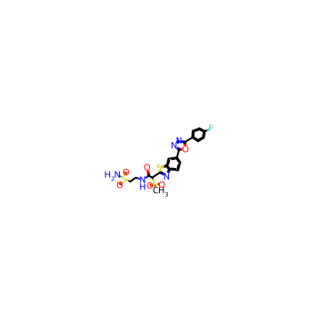 CS(=O)(=O)C(C(=O)NCCS(N)(=O)=O)c1nc2ccc(-c3nnc(-c4ccc(F)cc4)o3)cc2s1